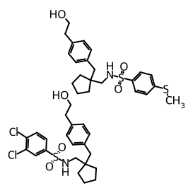 CSc1ccc(S(=O)(=O)NCC2(Cc3ccc(CCO)cc3)CCCC2)cc1.O=S(=O)(NCC1(Cc2ccc(CCO)cc2)CCCC1)c1ccc(Cl)c(Cl)c1